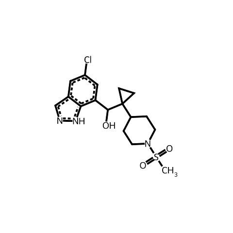 CS(=O)(=O)N1CCC(C2(C(O)c3cc(Cl)cc4cn[nH]c34)CC2)CC1